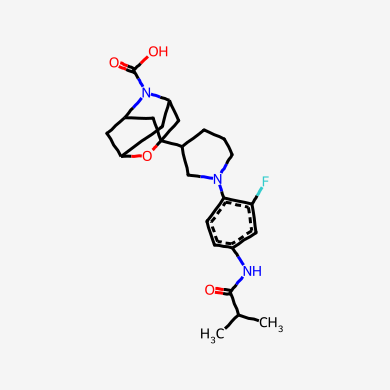 CC(C)C(=O)Nc1ccc(N2CCCC(C34CC5CC(CC(C3)N5C(=O)O)O4)C2)c(F)c1